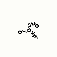 COC(=O)COc1cc(OCC=Cc2ccccc2)cc(OCC(=O)N(C)CCc2ccccc2)c1